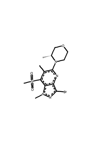 Cc1c(N2CCOC[C@H]2C)nc2c(Br)nn(C)c2c1S(C)(=O)=O